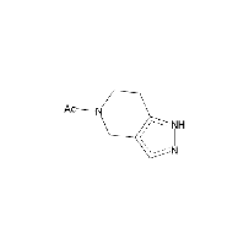 CC(=O)N1CCc2[nH]ncc2C1